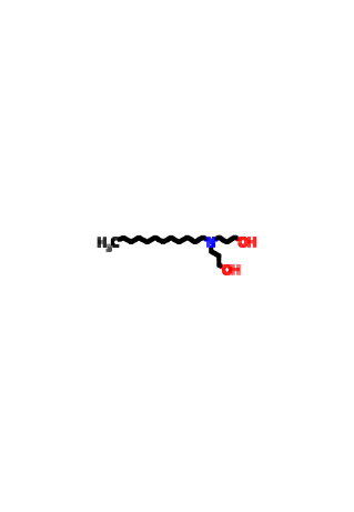 CCCCCCCCCCCCN(CCCO)CCCO